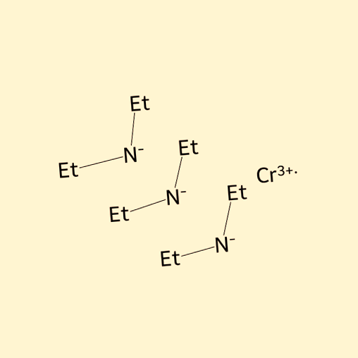 CC[N-]CC.CC[N-]CC.CC[N-]CC.[Cr+3]